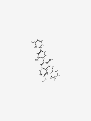 CSc1ncc2cc(-c3ccc(-c4cccc(C)n4)cc3Cl)c(=O)n(CC3CCNCC3)c2n1